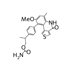 COc1cc(C)c2[nH]c(=O)c3cscc3c2c1-c1ccc(C(C)COC(N)=O)cc1